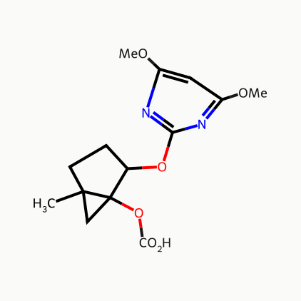 COc1cc(OC)nc(OC2CCC3(C)CC23OC(=O)O)n1